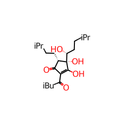 CCC(C)C(=O)C1=C(O)[C@](O)([C@H](O)CCC(C)C)[C@@H](CCC(C)C)C1=O